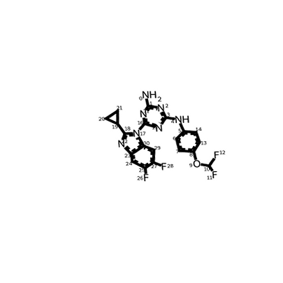 Nc1nc(Nc2ccc(OC(F)F)cc2)nc(-n2c(C3CC3)nc3cc(F)c(F)cc32)n1